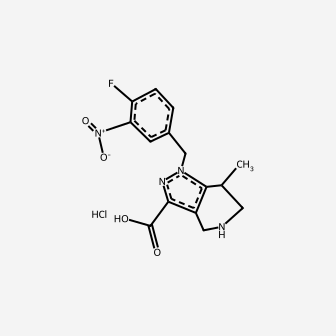 CC1CNCc2c(C(=O)O)nn(Cc3ccc(F)c([N+](=O)[O-])c3)c21.Cl